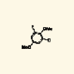 COc1cc(F)c(OC)c(Cl)c1